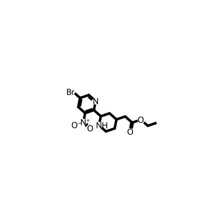 CCOC(=O)CC1CCNC(c2ncc(Br)cc2[N+](=O)[O-])C1